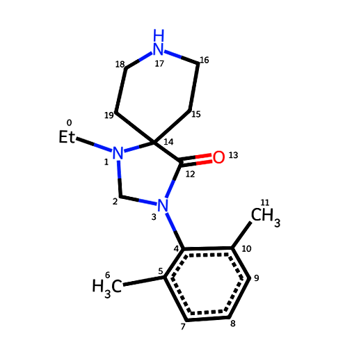 CCN1CN(c2c(C)cccc2C)C(=O)C12CCNCC2